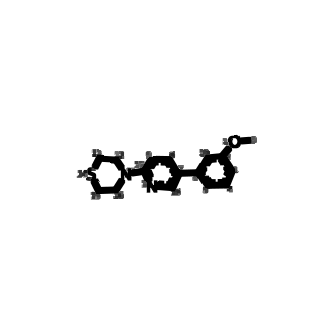 COc1cccc(-c2ccc(N3CCSCC3)nc2)c1